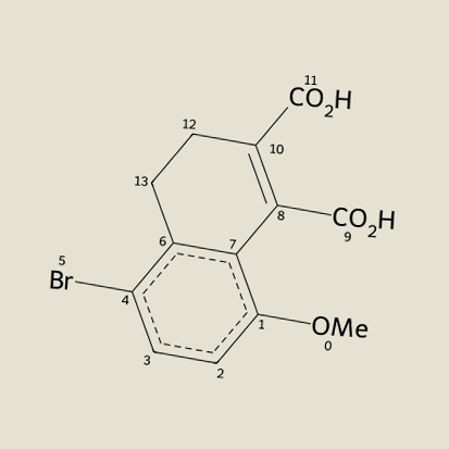 COc1ccc(Br)c2c1C(C(=O)O)=C(C(=O)O)CC2